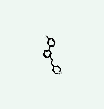 N#Cc1cccc(-c2cccc(CCC3CCNCC3)c2)c1